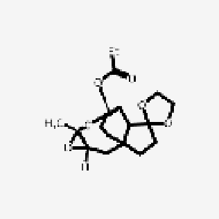 CCC(=O)O[C@H]1C[C@@]2(C)O[C@H]2CC23CCCC1C2C1(CC3)OCCO1